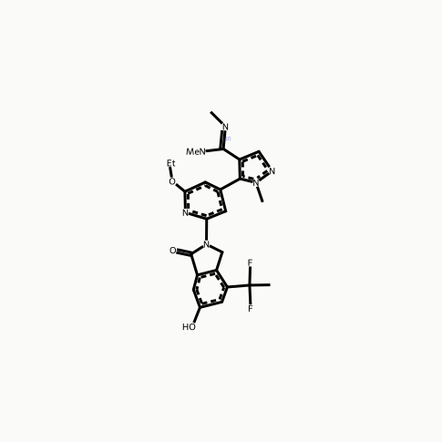 CCOc1cc(-c2c(/C(=N/C)NC)cnn2C)cc(N2Cc3c(cc(O)cc3C(C)(F)F)C2=O)n1